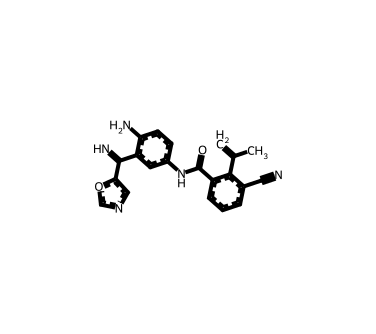 C=C(C)c1c(C#N)cccc1C(=O)Nc1ccc(N)c(C(=N)c2cnco2)c1